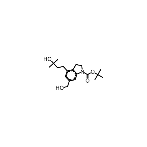 CC(C)(O)CCc1cc(CO)cc2c1CCN2C(=O)OC(C)(C)C